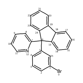 Brc1cccc(C2(c3ccccn3)c3ccccc3-c3ccccc32)c1